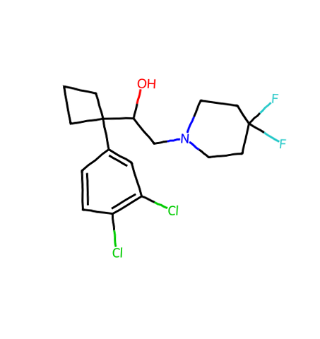 OC(CN1CCC(F)(F)CC1)C1(c2ccc(Cl)c(Cl)c2)CCC1